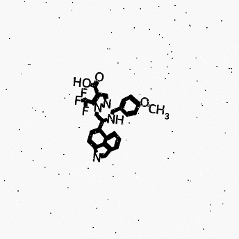 COc1ccc(CNC(Cn2ncc(C(=O)O)c2C(F)(F)F)c2ccc3c4c(cccc24)C=N3)cc1